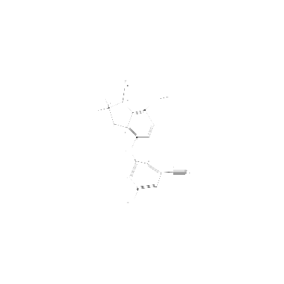 CSc1ccc(Oc2cc(F)cc(C#N)c2)c2c1C(O)C(F)(F)C2